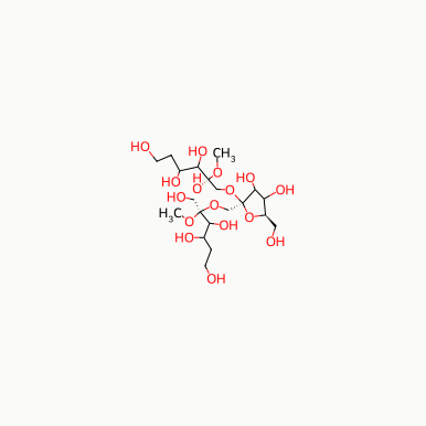 CO[C@@](CO)(OC[C@@]1(OC[C@](O)(OC)C(O)C(O)CCO)O[C@H](CO)C(O)C1O)C(O)C(O)CCO